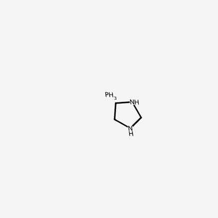 C1CNCN1.P